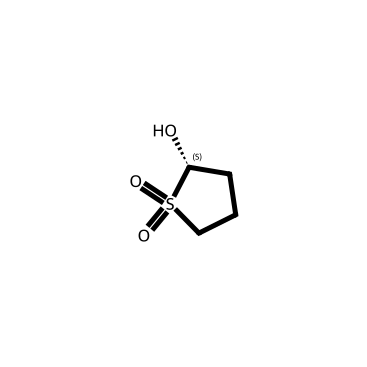 O=S1(=O)CCC[C@H]1O